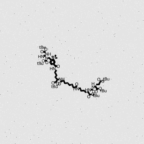 CC(C)(C)OC(=O)CC[C@H](NC(=O)N[C@@H](CCCCNC(=O)CCCCCCC(=O)NC(CCCCNC(=O)c1ccc(CN(C(=N)NC(=O)OC(C)(C)C)C(=O)OC(C)(C)C)[c]([Sn]([CH3])([CH3])[CH3])c1)C(=O)OC(C)(C)C)C(=O)OC(C)(C)C)C(=O)OC(C)(C)C